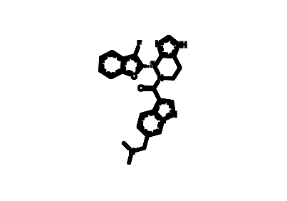 CN(C)Cc1ccc2c(C(=O)N3CCc4[nH]cnc4[C@H]3c3oc4ccccc4c3F)cnn2c1